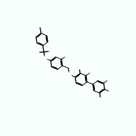 Cc1ccc(C(F)(F)Oc2ccc(COc3ccc(-c4cc(F)c(F)c(F)c4)c(F)c3F)c(F)c2)cc1